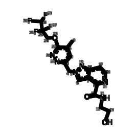 Cc1cc(Cn2cc3c(C(=O)NCCO)nccc3n2)nnc1OCC(F)(F)C(F)F